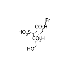 CC(C)CCCCCCCO.O=C(O)CC(C(=O)O)S(=O)(=O)O